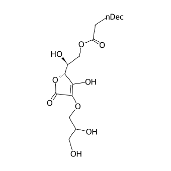 CCCCCCCCCCCC(=O)OC[C@H](O)[C@H]1OC(=O)C(OCC(O)CO)=C1O